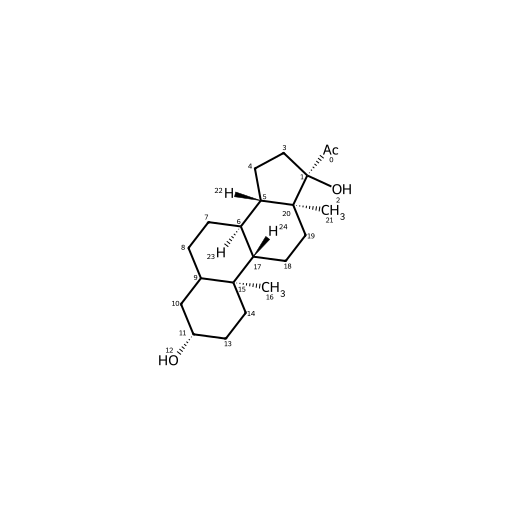 CC(=O)[C@@]1(O)CC[C@H]2[C@@H]3CCC4C[C@@H](O)CC[C@]4(C)[C@H]3CC[C@@]21C